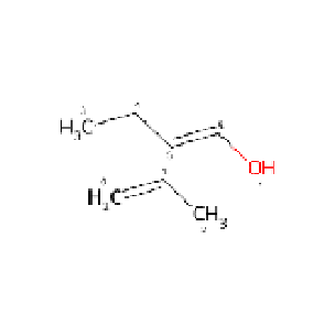 C=CC.CCC=CO